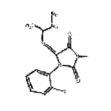 CN1C(=O)/C(=N\C(NC(C)(C)C)C(Cl)(Cl)Cl)N(c2ccccc2F)C1=O